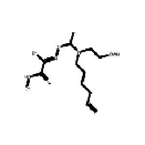 C=CCCCCN(CCOC)C(C)O/N=C(\CC)C(=O)NCC